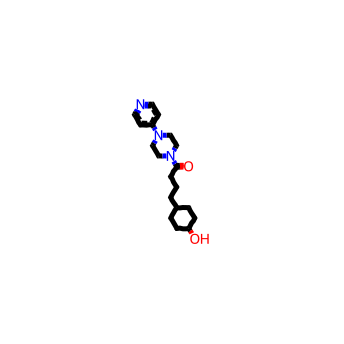 O=C(CCCC1CC[C](O)CC1)N1CCN(c2ccncc2)CC1